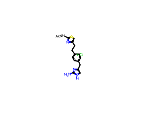 CC(=O)Nc1nc(CCc2ccc(Cc3c[nH]c(N)n3)cc2)cs1.Cl